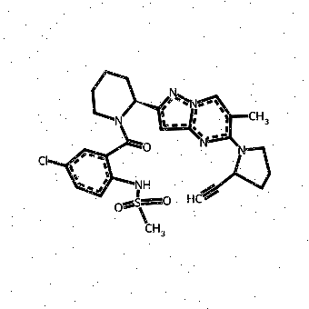 C#CC1CCCN1c1nc2cc([C@@H]3CCCCN3C(=O)c3cc(Cl)ccc3NS(C)(=O)=O)nn2cc1C